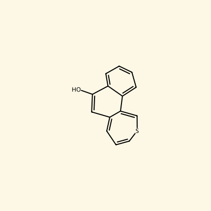 Oc1cc2c(c3ccccc13)=CSC=CC=2